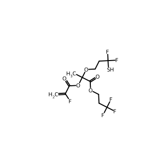 C=C(F)C(=O)OC(C)(OCCC(F)(F)S)C(=O)OCCC(F)(F)F